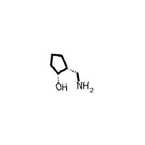 NC[C@H]1CCC[C@H]1O